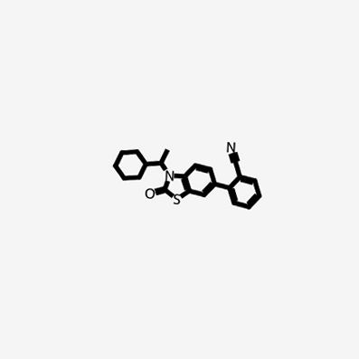 CC(C1CCCCC1)n1c(=O)sc2cc(-c3ccccc3C#N)ccc21